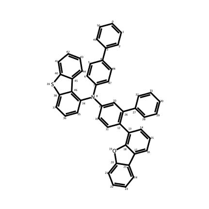 c1ccc(-c2ccc(N(c3ccc(-c4cccc5c4oc4ccccc45)c(-c4ccccc4)c3)c3cccc4sc5ccccc5c34)cc2)cc1